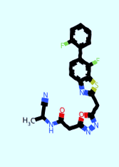 CC(C#N)NC(=O)Cc1nnc(Cc2nc3ccc(-c4ccccc4F)c(F)c3s2)o1